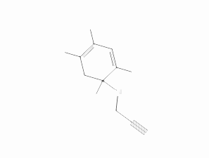 C#CCNC1(F)[CH]C(F)=C(F)C=C1F